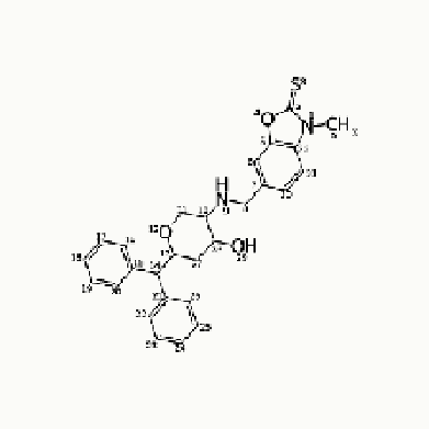 Cn1c(=S)oc2cc(CNC3COC(C(c4ccccc4)c4ccccc4)CC3O)ccc21